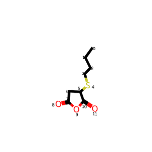 CCCCSC1CC(=O)OC1=O